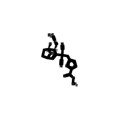 C=C=C[C@@H]1C(C(C#N)(C#N)Cc2ccc(C(=O)OC)o2)=CC2CC[C@@H]1N2